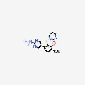 Cc1nc(N)ncc1-c1ccc(C(C)(C)C)c(Oc2ncccn2)c1F